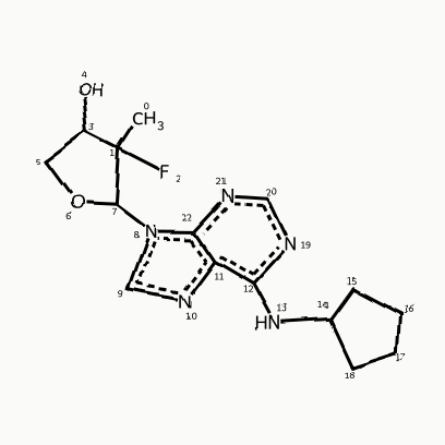 CC1(F)C(O)COC1n1cnc2c(NC3CCCC3)ncnc21